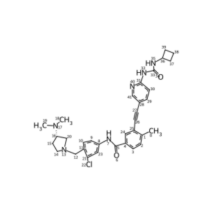 Cc1ccc(C(=O)Nc2ccc(CN3CC[C@H](N(C)C)C3)c(Cl)c2)cc1C#Cc1ccc(NC(=O)NC2CCC2)nc1